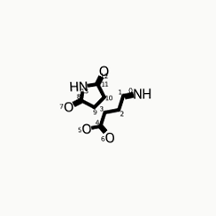 N=CCCC([O])=O.O=C1CCC(=O)N1